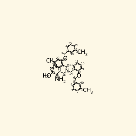 Cc1cccc(COc2ccccc2CN(CC[C@H](N)C(=O)O)Cc2cnc(Cl)cc2OCc2cccc(C)c2)c1